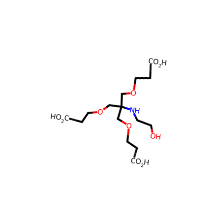 O=C(O)CCOCC(COCCC(=O)O)(COCCC(=O)O)NCCO